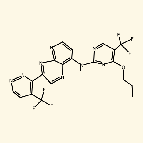 CCCOc1nc(Nc2ccnc3nc(-c4nnccc4C(F)(F)F)cnc23)ncc1C(F)(F)F